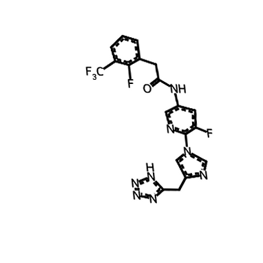 O=C(Cc1cccc(C(F)(F)F)c1F)Nc1cnc(-n2cnc(Cc3nnn[nH]3)c2)c(F)c1